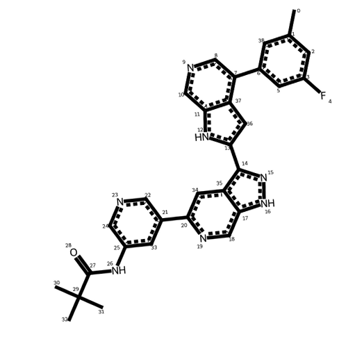 Cc1cc(F)cc(-c2cncc3[nH]c(-c4n[nH]c5cnc(-c6cncc(NC(=O)C(C)(C)C)c6)cc45)cc23)c1